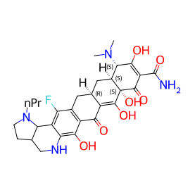 CCCN1CCC2CNc3c(O)c4c(c(F)c3C21)C[C@H]1C[C@H]2[C@H](N(C)C)C(O)=C(C(N)=O)C(=O)[C@@]2(O)C(O)=C1C4=O